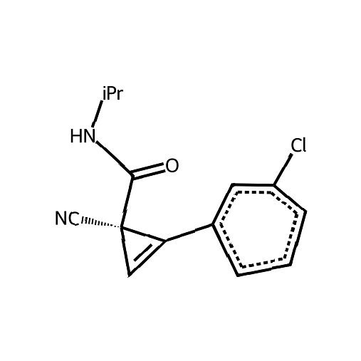 CC(C)NC(=O)[C@]1(C#N)C=C1c1cccc(Cl)c1